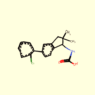 CC1(C)Cc2cc(-c3ccccc3Cl)ccc2C1NC(=O)O